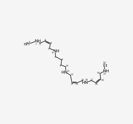 CCCNC/C=C\CNCCCCNC/C=C\CNC/C=C\CNCC